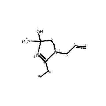 C=CCN1CC(N)(O)N=C1CC